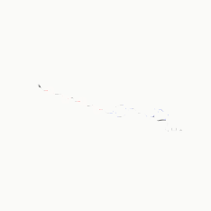 C#CCOCCOCCOCCOCCN1CCN(CCCNc2cc(CNC)ncn2)CC1